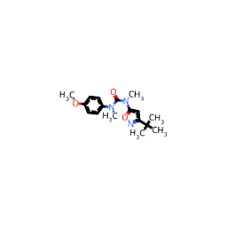 COc1ccc(N(C)C(=O)N(C)c2cc(C(C)(C)C)no2)cc1